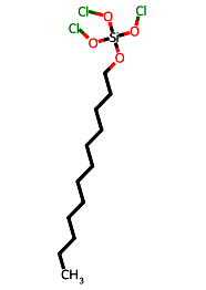 CCCCCCCCCCCCO[Si](OCl)(OCl)OCl